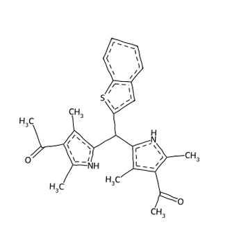 CC(=O)c1c(C)[nH]c(C(c2cc3ccccc3s2)c2[nH]c(C)c(C(C)=O)c2C)c1C